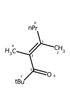 CCC/C(C)=C(\C)C(=O)C(C)(C)C